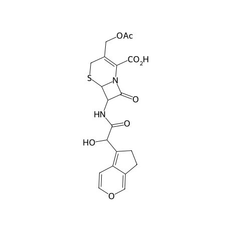 CC(=O)OCC1=C(C(=O)O)N2C(=O)C(NC(=O)C(O)C3=C4C=COC=C4CC3)C2SC1